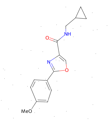 COc1ccc(-c2nc(C(=O)NCC3CC3)co2)cc1